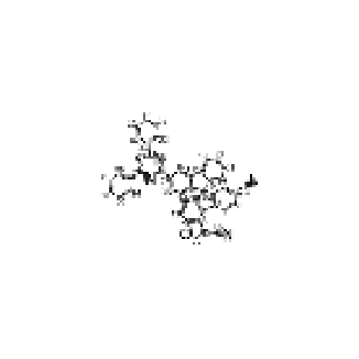 N#Cc1ccc2c(c1)C1(c3ccccc3-c3cc(-c4nc(-c5ccccc5)nc(-c5ccccc5)n4)ccc31)c1ccc3occ(C#N)c3c1-2